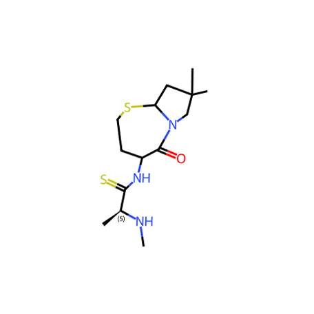 CN[C@@H](C)C(=S)NC1CCSC2CC(C)(C)CN2C1=O